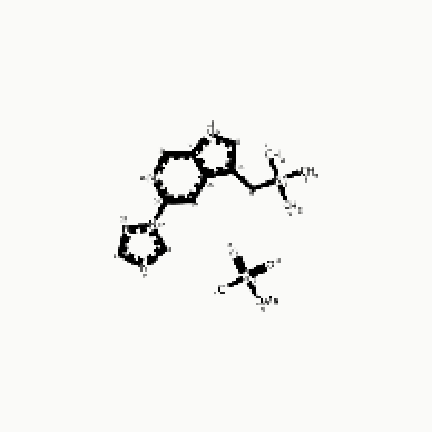 COS(=O)(=O)[O-].C[N+](C)(C)Cc1c[nH]c2cnc(-n3cncn3)cc12